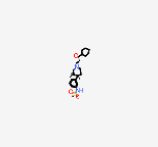 C[C@H]1CN(CCC(=O)C2CCCCC2)CC[C@]1(C)c1cccc(NS(C)(=O)=O)c1